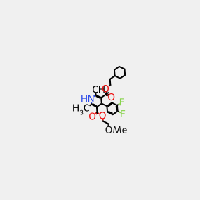 COCCOC(=O)C1=C(C)NC(C)=C(C(=O)OCCC2CCCCC2)C1c1ccc(F)c(F)c1